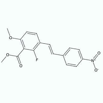 COC(=O)c1c(OC)ccc(/C=C/c2ccc([N+](=O)[O-])cc2)c1F